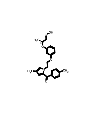 Cc1ccc(C(=O)c2cc(C)cn2CCSc2cccc(O[C@@H](C)COO)c2)cc1